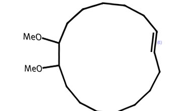 COC1CCCCC/C=C/CCCCCCCC1OC